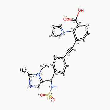 Cc1ncc(C(N[SH](=O)=O)c2ccc(C#Cc3cccc(C(=O)O)c3-n3cccc3)cc2)n1C